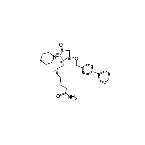 NC(=O)CCC/C=C\C[C@H]1[C@@H](OCc2ccc(-c3ccccc3)cc2)CC(=O)[C@@H]1N1CCSCC1